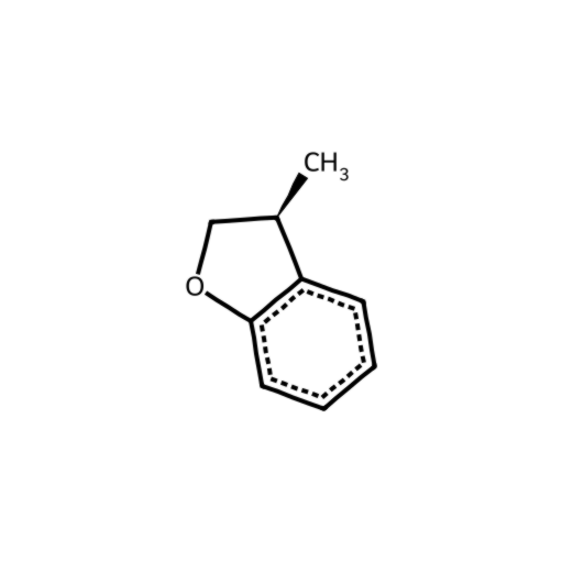 C[C@@H]1COc2ccccc21